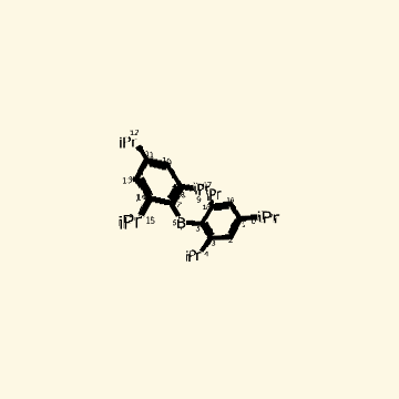 CC(C)c1cc(C(C)C)c([B]c2c(C(C)C)cc(C(C)C)cc2C(C)C)c(C(C)C)c1